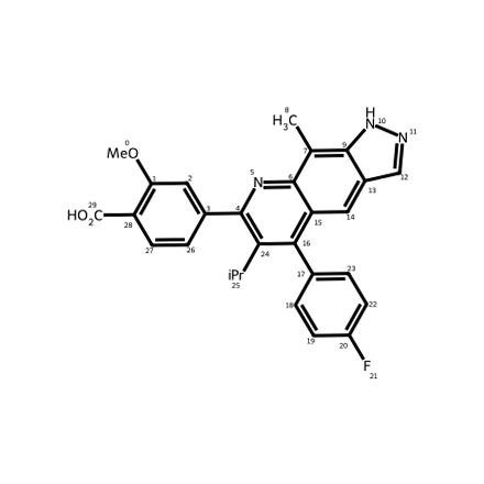 COc1cc(-c2nc3c(C)c4[nH]ncc4cc3c(-c3ccc(F)cc3)c2C(C)C)ccc1C(=O)O